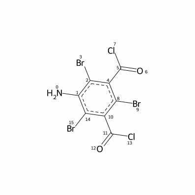 Nc1c(Br)c(C(=O)Cl)c(Br)c(C(=O)Cl)c1Br